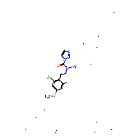 CCCN(CCc1c(Cl)cc(SC(F)(F)F)cc1Cl)C(=O)n1ccnc1